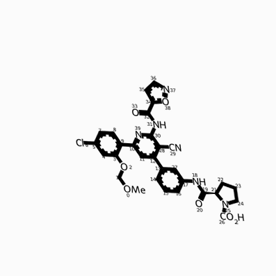 COCOc1cc(Cl)ccc1-c1cc(-c2cccc(NC(=O)[C@H]3CCCN3C(=O)O)c2)c(C#N)c(NC(=O)c2ccno2)n1